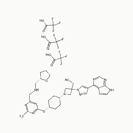 N#CCC1(n2cc(-c3ncnc4[nH]ccc34)cn2)CN([C@H]2CC[C@@H](Oc3cc(CNC[C@@H]4CCCO4)nc(C(F)(F)F)n3)CC2)C1.O=C(O)C(F)(F)F.O=C(O)C(F)(F)F.O=C(O)C(F)(F)F